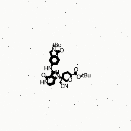 CC(C)(C)OC(=O)[C@@H]1CC[C@@](CC#N)(n2nc(Nc3ccc4c(c3)CN(C(C)(C)C)C4=O)c3c(=O)[nH]ccc32)CO1